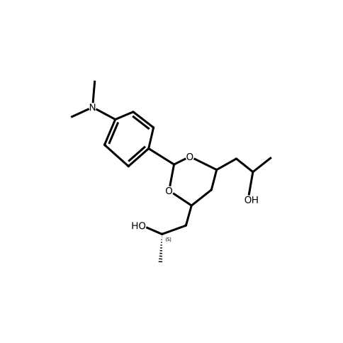 CC(O)CC1CC(C[C@H](C)O)OC(c2ccc(N(C)C)cc2)O1